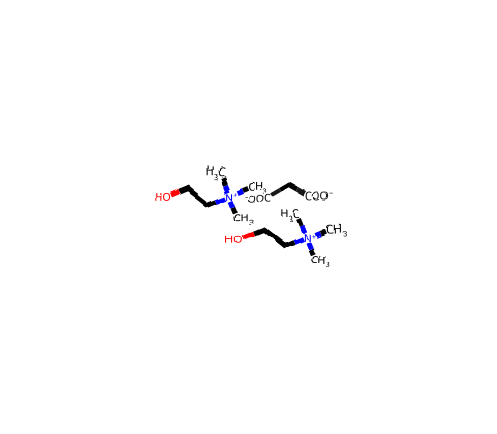 C[N+](C)(C)CCO.C[N+](C)(C)CCO.O=C([O-])CC(=O)[O-]